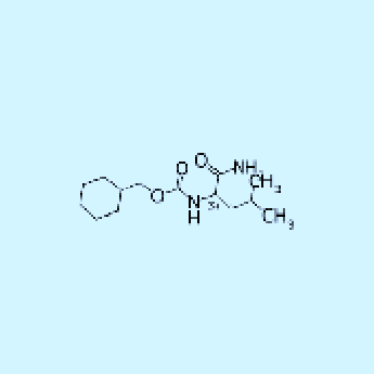 CC(C)C[C@H](NC(=O)OCC1CCCCC1)C(N)=O